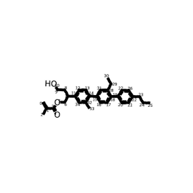 C=C(C)C(=O)OCC(CCO)c1ccc(-c2ccc(-c3ccc(CCC)cc3)c(CC)c2)c(C)c1